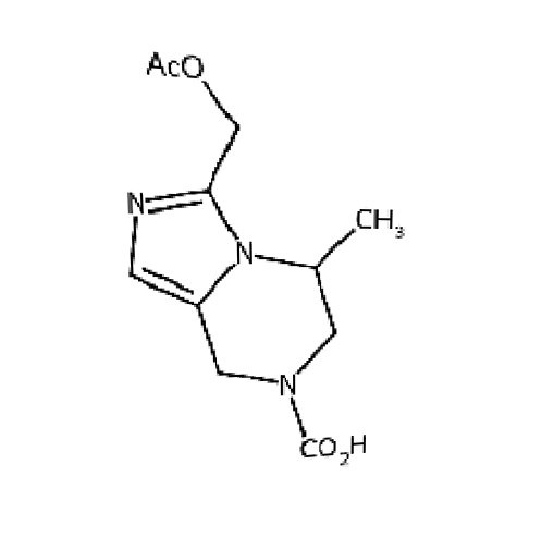 CC(=O)OCc1ncc2n1C(C)CN(C(=O)O)C2